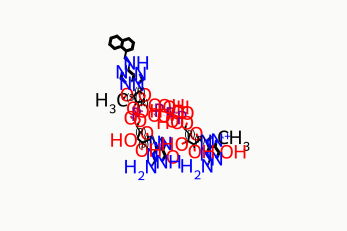 CO[C@H]1C(OP(=O)(O)OC[C@H]2O[C@@H](n3cnc4c(=O)[nH]c(N)nc43)[C@@H](O)C2O)[C@@H](COP(=O)(O)OP(=O)(O)OP(=O)(O)OC[C@H]2O[C@@H](n3c[n+](C)c4c(O)nc(N)nc43)C(O)C2O)O[C@H]1n1cnc2c(NCc3cccc4ccccc34)ncnc21